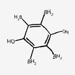 Bc1c(B)c(O)c(B)c(B)c1O